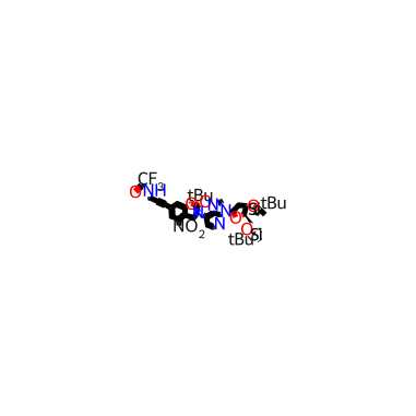 CC(C)(C)OC(=O)N(Cc1ccc(C#CCNC(=O)C(F)(F)F)cc1[N+](=O)[O-])c1ccnc2c1ncn2[C@H]1CC(O[Si](C)(C)C(C)(C)C)[C@@H](CO[Si](C)(C)C(C)(C)C)O1